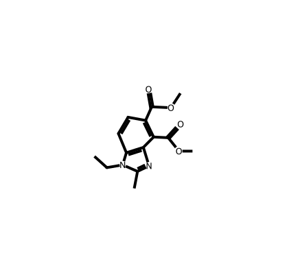 CCn1c(C)nc2c(C(=O)OC)c(C(=O)OC)ccc21